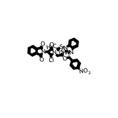 CC(C)(Sn1nnc2ccccc21)[N+]1(CC(=O)OCc2ccc([N+](=O)[O-])cc2)C(=O)C(N2C(=O)c3ccccc3C2=O)C1Cl